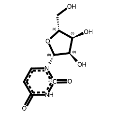 O=c1ccn([C@@H]2O[C@H](CO)[C@@H](O)[C@H]2O)[13c](=O)[nH]1